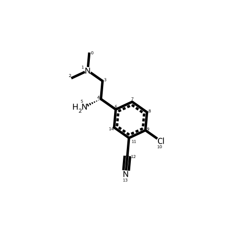 CN(C)C[C@@H](N)c1ccc(Cl)c(C#N)c1